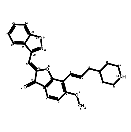 COc1ccc2c(c1C=CCC1CCNCC1)OC(=Cc1n[nH]c3ccccc13)C2=O